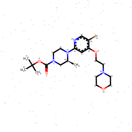 C[C@H]1CN(C(=O)OC(C)(C)C)CCN1c1cc(OCCN2CCOCC2)c(Br)cn1